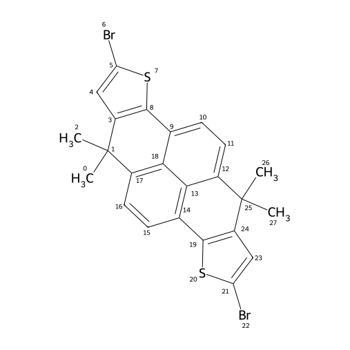 CC1(C)c2cc(Br)sc2-c2ccc3c4c(ccc1c24)-c1sc(Br)cc1C3(C)C